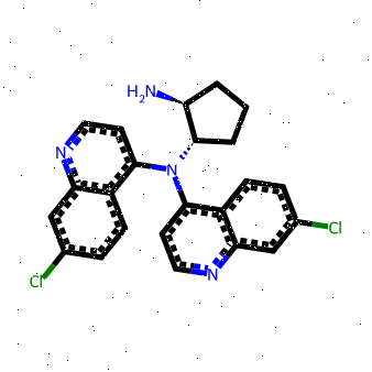 N[C@H]1CCC[C@@H]1N(c1ccnc2cc(Cl)ccc12)c1ccnc2cc(Cl)ccc12